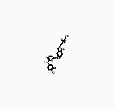 CNC(=O)CCN1Cc2cc(Nc3ncc(F)c(Nc4ccc(Cl)c(Cl)c4)n3)ccc2N1